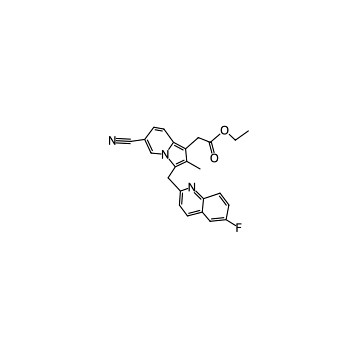 CCOC(=O)Cc1c(C)c(Cc2ccc3cc(F)ccc3n2)n2cc(C#N)ccc12